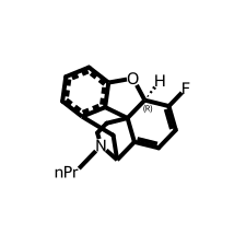 CCCN1CCC23C4=CC=C(F)[C@@H]2Oc2cccc(c23)CC41